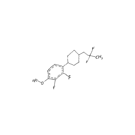 CCCOc1ccc(C2CCC(CC(C)(F)F)CC2)c(F)c1F